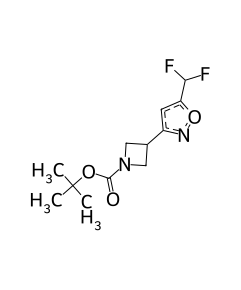 CC(C)(C)OC(=O)N1CC(c2cc(C(F)F)on2)C1